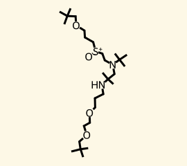 CC(C)(C)COCCC[S+]([O-])CCN(CC(C)(C)NCCCOCCOCC(C)(C)C)C(C)(C)C